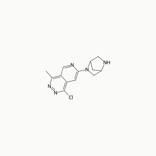 Cc1nnc(Cl)c2cc(N3CC4CC3CN4)ncc12